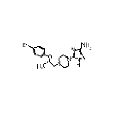 C[C@@H](CN1CCN(c2nc(N)n[nH]2)CC1)Oc1ccc(Br)cc1